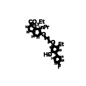 CCCc1c(OCCCOc2cc(O)c(-c3ccc(F)cc3)cc2CC)ccc2c1OC(C(=O)OCC)CC2